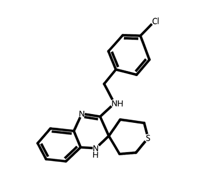 Clc1ccc(CNC2=Nc3ccccc3NC23CCSCC3)cc1